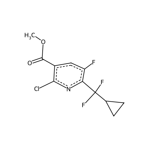 COC(=O)c1cc(F)c(C(F)(F)C2CC2)nc1Cl